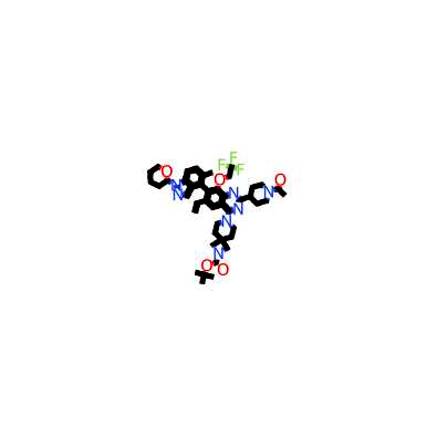 C=Cc1cc2c(N3CCC4(CC3)CN(C(=O)OC(C)(C)C)C4)nc(C3CCN(C(C)=O)CC3)nc2c(OCC(F)(F)F)c1-c1c(C)ccc2c1cnn2C1CCCCO1